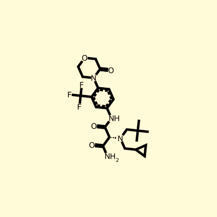 CC(C)(C)CN(CC1CC1)[C@H](C(N)=O)C(=O)Nc1ccc(N2CCOCC2=O)c(C(F)(F)F)c1